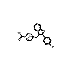 O=C(O)N1CC2CCC1CN2Cc1c(-c2ccc(Br)cc2)nc2ccccn12